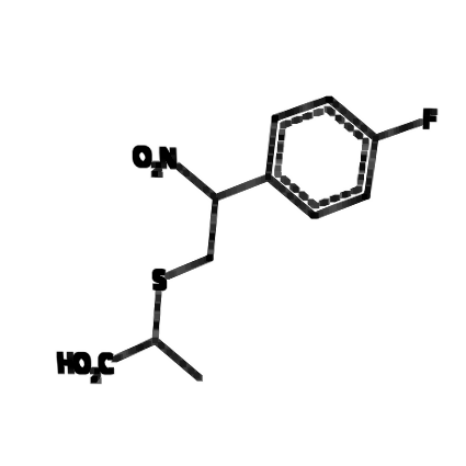 CC(SCC(c1ccc(F)cc1)[N+](=O)[O-])C(=O)O